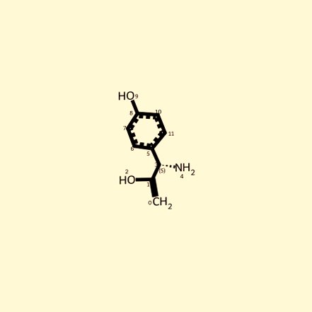 C=C(O)[C@@H](N)c1ccc(O)cc1